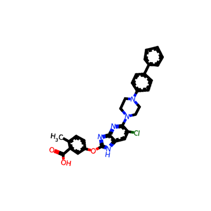 Cc1ccc(Oc2nc3nc(N4CCN(c5ccc(-c6ccccc6)cc5)CC4)c(Cl)cc3[nH]2)cc1C(=O)O